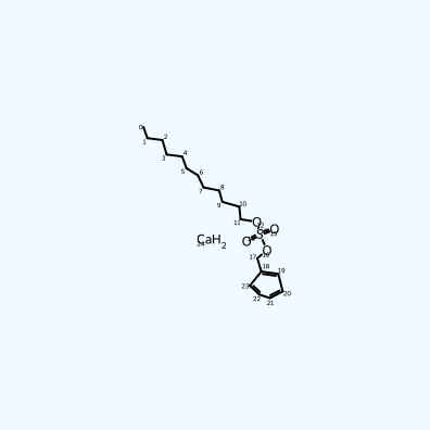 CCCCCCCCCCCCOS(=O)(=O)OCc1ccccc1.[CaH2]